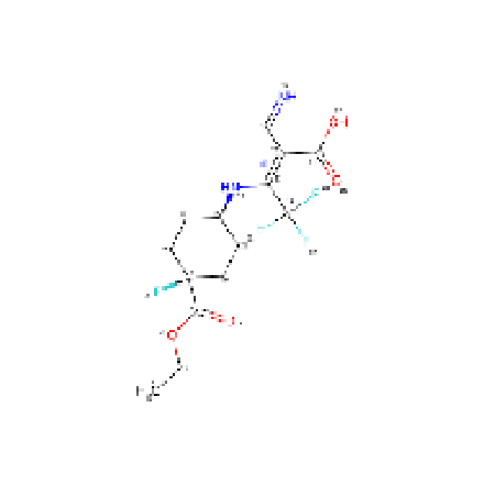 CCOC(=O)[C@]1(F)CC[C@@H](N/C(=C(\C=N)C(=O)O)C(F)(F)F)CC1